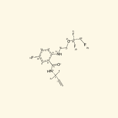 C#CC(C)(C)NC(=O)c1cc(F)ccc1NCCOC(F)(F)CF